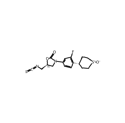 O=C1O[C@H](CN=C=S)CN1c1ccc([C@H]2CC[S@@+]([O-])CC2)c(F)c1